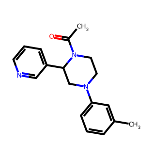 CC(=O)N1CCN(c2cccc(C)c2)CC1c1cccnc1